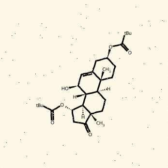 CC(C)(C)C(=O)O[C@H]1CC[C@@]2(C)C(=C[C@H](O)[C@H]3[C@@H]4[C@@H](OC(=O)C(C)(C)C)CC(=O)[C@@]4(C)CC[C@@H]32)C1